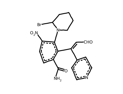 NC(=O)c1ccc([N+](=O)[O-])c(N2CCCCC2Br)c1C(=CC=O)c1ccncc1